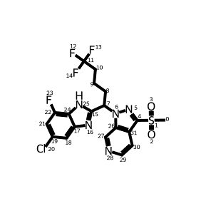 CS(=O)(=O)c1nn(C(CCCC(F)(F)F)c2nc3cc(Cl)cc(F)c3[nH]2)c2cnccc12